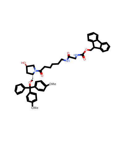 COc1ccc(C(OC[C@@H]2C[C@@H](O)CN2C(=O)CCCCCNC(=O)CNC(=O)OCC2c3ccccc3-c3ccccc32)(c2ccccc2)c2ccc(OC)cc2)cc1